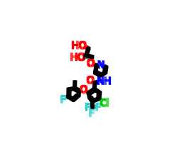 Cc1cc(F)ccc1Oc1cc(C(F)(F)F)c(Cl)cc1C(=O)Nc1ccnc(OC[C@@H](O)CO)c1